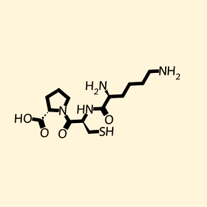 NCCCC[C@H](N)C(=O)N[C@@H](CS)C(=O)N1CCC[C@H]1C(=O)O